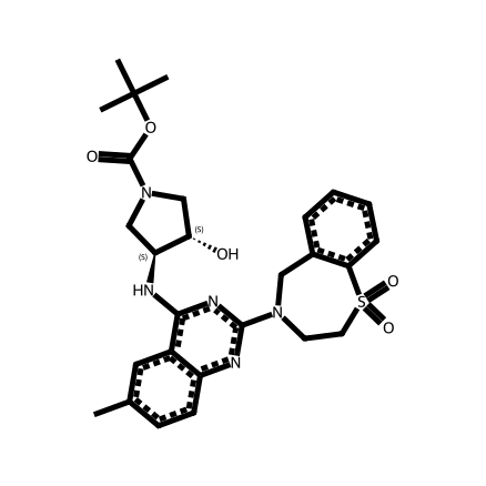 Cc1ccc2nc(N3CCS(=O)(=O)c4ccccc4C3)nc(N[C@H]3CN(C(=O)OC(C)(C)C)C[C@@H]3O)c2c1